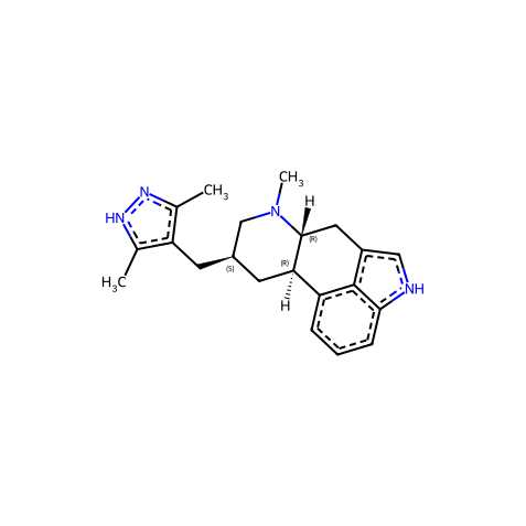 Cc1n[nH]c(C)c1C[C@@H]1C[C@@H]2c3cccc4[nH]cc(c34)C[C@H]2N(C)C1